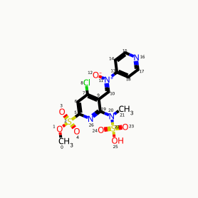 COS(=O)(=O)c1cc(Cl)c(C=[N+]([O-])c2ccncc2)c(N(C)S(=O)(=O)O)n1